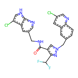 O=C(NCc1cnc2[nH]cc(Cl)c2c1)c1cn(Cc2ccc3ncc(Cl)cc3c2)nc1C(F)F